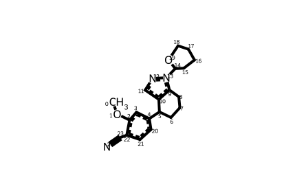 COc1cc(C2CCCc3c2cnn3C2CCCCO2)ccc1C#N